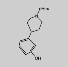 CCCCCCN1CCC(c2cccc(O)c2)CC1